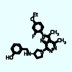 CCOc1ccc(-n2nc3c(N4CC[C@H](NCc5cccc(O)c5)C4)nnc(C)c3c2C)c(F)c1